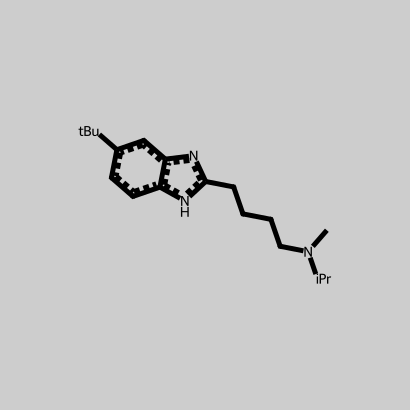 CC(C)N(C)CCCCc1nc2cc(C(C)(C)C)ccc2[nH]1